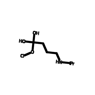 CC(C)NCCCC(O)(O)OCl